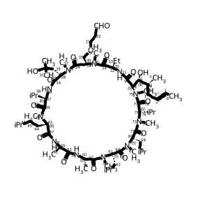 C/C=C/C[C@@H](C)[C@@H](O)[C@H]1C(=O)N[C@@H](CC)C(=O)N(C)[C@H](COCCC=O)C(=O)N(C)[C@@H](CC(C)(C)O)C(=O)N[C@H](C(C)C)C(=O)N(C)[C@H](CCC(C)C)C(=O)N[C@H](C)C(=O)N[C@@H](C)C(=O)N(C)[C@@H](CC(C)C)C(=O)N(C)[C@@H](CC(C)C)C(=O)N(C)[C@@H](C(C)C)C(=O)N1C